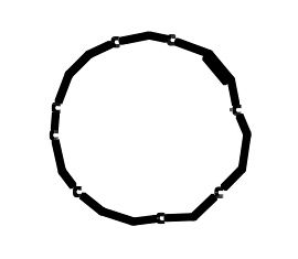 [CH]1C=CCCCCCCCCCCCCCCCC1